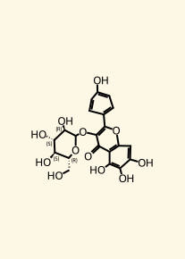 O=c1c(OC2O[C@H](CO)[C@@H](O)[C@H](O)[C@H]2O)c(-c2ccc(O)cc2)oc2cc(O)c(O)c(O)c12